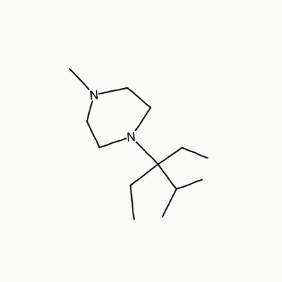 CCC(CC)(C(C)C)N1CCN(C)CC1